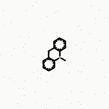 CN1c2ccccc2[C]c2ccccc21